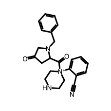 N#Cc1ccccc1[N+]1(C(=O)C2CC(=O)CN2Cc2ccccc2)CCNCC1